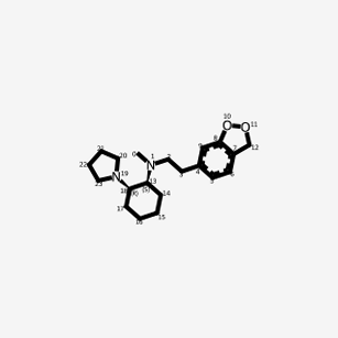 CN(CCc1ccc2c(c1)OOC2)[C@H]1CCCC[C@H]1N1CCCC1